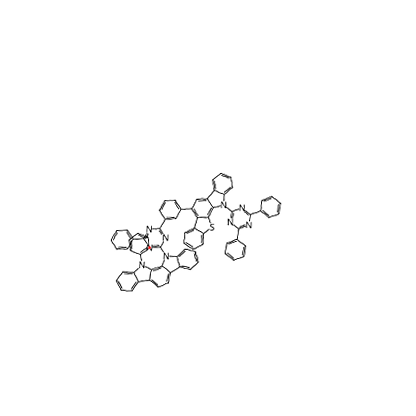 c1ccc(-c2nc(-c3ccccc3)nc(-n3c4ccccc4c4cc(-c5cccc(-c6nc(-c7ccccc7)nc(-n7c8ccccc8c8ccc9c%10ccccc%10n(-c%10ccccc%10)c9c87)n6)c5)c5c6ccccc6sc5c43)n2)cc1